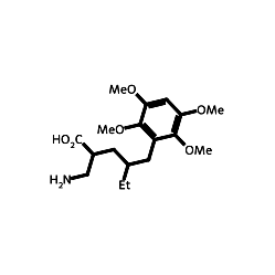 CCC(Cc1c(OC)c(OC)cc(OC)c1OC)CC(CN)C(=O)O